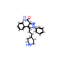 O=c1[nH]c2ccccc2c2c(CCC3CCNCC3)n(-c3ccccc3)nc12